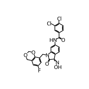 O=C(Nc1ccc2c(c1)N(Cc1cc(F)cc3c1OCOC3)C(=O)/C2=N\O)c1ccc(Cl)c(Cl)c1